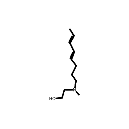 CC=CC=CCCCN(C)CCO